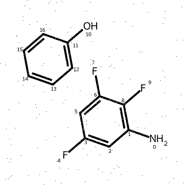 Nc1cc(F)cc(F)c1F.Oc1ccccc1